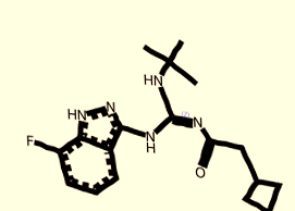 CC(C)(C)N/C(=N/C(=O)CC1CCC1)Nc1n[nH]c2c(F)cccc12